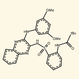 COc1cc(Nc2nc3ccccc3nc2NS(=O)(=O)c2ccccc2NC(=O)C(C)(C)C)cc(OC)c1